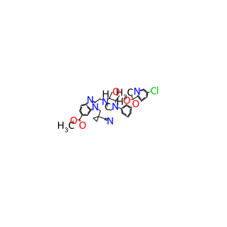 COC(=O)c1ccc2nc(CN3CCN(c4cccc5c4O[C@](C)(c4ccc(Cl)cn4)O5)[C@H]4COC[C@H]43)n(CC3(C#N)CC3)c2c1